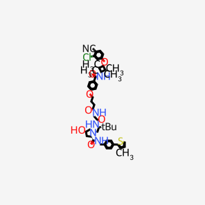 Cc1ccsc1-c1ccc(CNC(=O)[C@@H]2C[C@@H](O)CN2CC(NC(=O)CNC(=O)CCCOc2ccc(C(=O)N[C@H]3C(C)(C)[C@H](Oc4ccc(C#N)c(Cl)c4)C3(C)C)cc2)C(C)(C)C)cc1